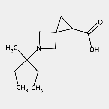 CCC(C)(CC)N1CC2(CC2C(=O)O)C1